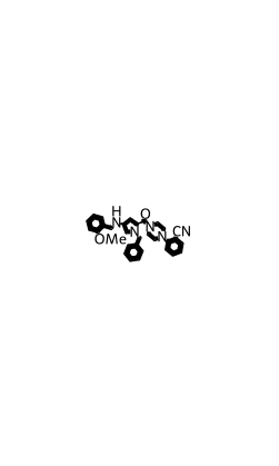 COc1ccccc1CN[C@H]1C[C@@H](C(=O)N2CCN(c3ccccc3C#N)CC2)N(Cc2ccccc2)C1